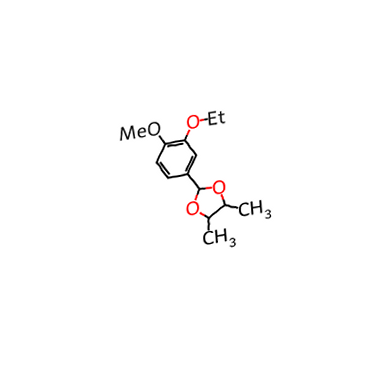 CCOc1cc(C2OC(C)C(C)O2)ccc1OC